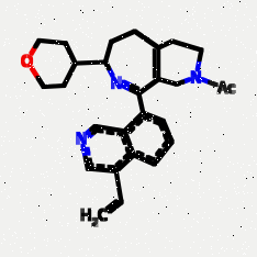 C=Cc1cncc2c(C3=NC(C4CCOCC4)CCC4=C3CN(C(C)=O)CC4)cccc12